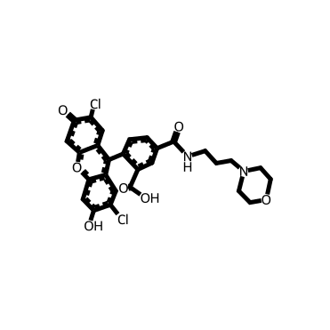 O=C(NCCCN1CCOCC1)c1ccc(-c2c3cc(Cl)c(=O)cc-3oc3cc(O)c(Cl)cc23)c(C(=O)O)c1